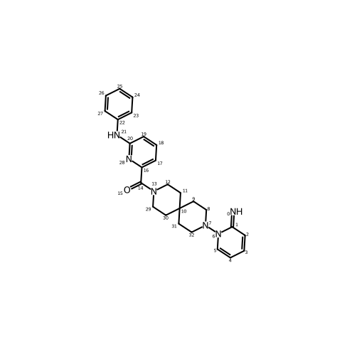 N=c1ccccn1N1CCC2(CCN(C(=O)c3cccc(Nc4ccccc4)n3)CC2)CC1